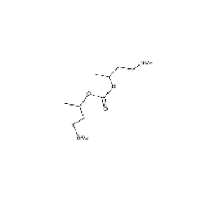 COCCC(C)OC(=O)OC(C)CCOC